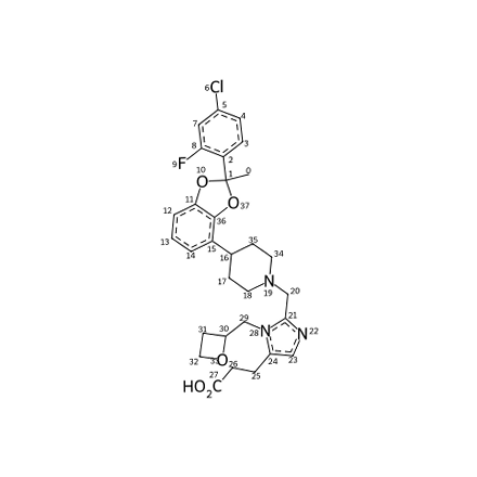 CC1(c2ccc(Cl)cc2F)Oc2cccc(C3CCN(Cc4ncc(CCC(=O)O)n4CC4CCO4)CC3)c2O1